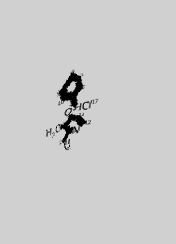 Cc1c(OCc2ccccc2)ccnc1CCl.Cl